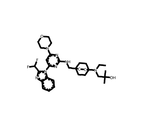 CCN(CC(C)(C)O)C12CCC(CNc3nc(N4CCOCC4)cc(-n4c(C(F)F)nc5ccccc54)n3)(CC1)CC2